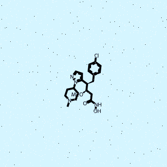 CO[C@H](CC(=O)NO)[C@H](Cc1ccc(Cl)cc1)c1ccnn1C1CCN(C)CC1